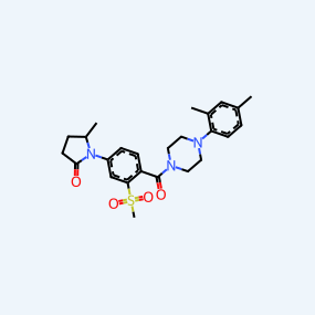 Cc1ccc(N2CCN(C(=O)c3ccc(N4C(=O)CCC4C)cc3S(C)(=O)=O)CC2)c(C)c1